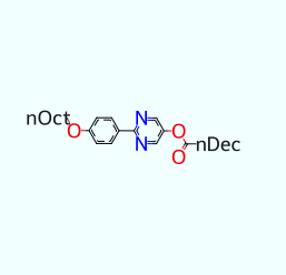 CCCCCCCCCCC(=O)Oc1cnc(-c2ccc(OCCCCCCCC)cc2)nc1